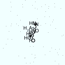 O=C(NC[C@H](O)CC(C1CCCCC1)[PH](=O)O)[C@@H]([AsH2])Cc1c[nH]cn1